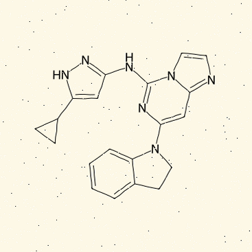 c1ccc2c(c1)CCN2c1cc2nccn2c(Nc2cc(C3CC3)[nH]n2)n1